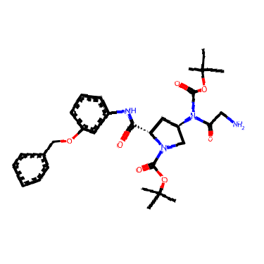 CC(C)(C)OC(=O)N1C[C@H](N(C(=O)CN)C(=O)OC(C)(C)C)C[C@H]1C(=O)Nc1cccc(OCc2ccccc2)c1